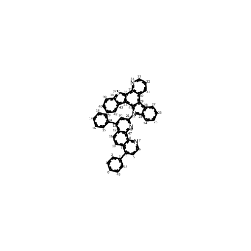 c1ccc(-c2ccnc3c2ccc2c(-c4ccccc4)cc(-n4c5ccccc5c5c6cccnc6c6sc7ccccc7c6c54)nc23)cc1